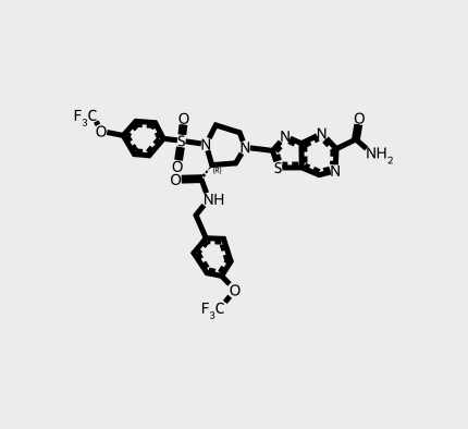 NC(=O)c1ncc2sc(N3CCN(S(=O)(=O)c4ccc(OC(F)(F)F)cc4)[C@@H](C(=O)NCc4ccc(OC(F)(F)F)cc4)C3)nc2n1